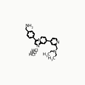 CCN(CC)Cc1cc(-c2ccn3c(-c4ccc(CN)cc4)cnc3c2)ccn1.Cl.Cl.Cl